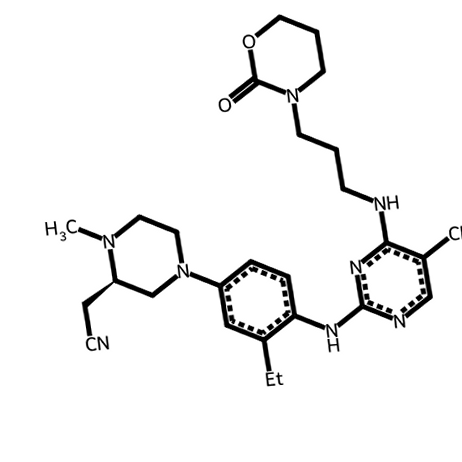 CCc1cc(N2CCN(C)[C@H](CC#N)C2)ccc1Nc1ncc(C(F)(F)F)c(NCCCN2CCCOC2=O)n1